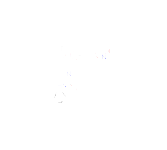 CCOP(=O)(CCNC(CCCCCC(=O)NO)C(=O)Nc1ccccc1)OCC